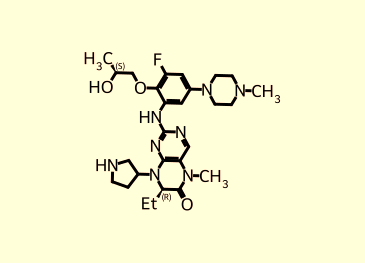 CC[C@@H]1C(=O)N(C)c2cnc(Nc3cc(N4CCN(C)CC4)cc(F)c3OC[C@H](C)O)nc2N1C1CCNC1